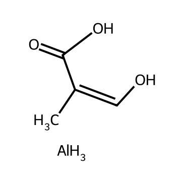 CC(=CO)C(=O)O.[AlH3]